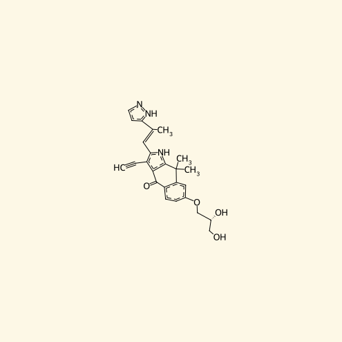 C#Cc1c(/C=C(\C)c2ccn[nH]2)[nH]c2c1C(=O)c1ccc(OC[C@H](O)CO)cc1C2(C)C